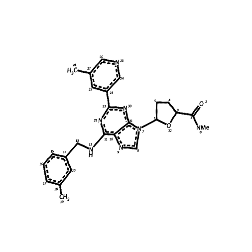 CNC(=O)C1CCC(n2cnc3c(NCc4cccc(C)c4)nc(-c4cncc(C)c4)nc32)O1